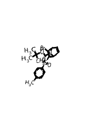 Cc1ccc(S(=O)(=O)C2=C(Br)C3C=CC2N3C(=O)OC(C)(C)C)cc1